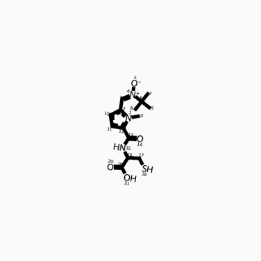 Cn1c(/C=[N+](/[O-])C(C)(C)C)ccc1C(=O)NC(CS)C(=O)O